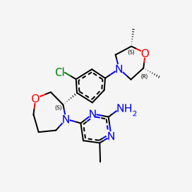 Cc1cc(N2CCCOC[C@@H]2c2ccc(N3C[C@@H](C)O[C@@H](C)C3)cc2Cl)nc(N)n1